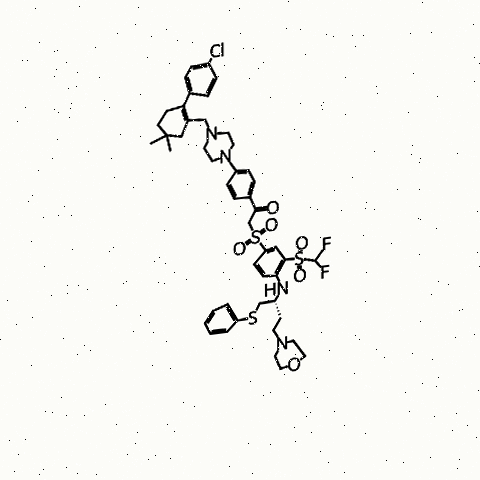 CC1(C)CCC(c2ccc(Cl)cc2)=C(CN2CCN(c3ccc(C(=O)CS(=O)(=O)c4ccc(N[C@H](CCN5CCOCC5)CSc5ccccc5)c(S(=O)(=O)C(F)F)c4)cc3)CC2)C1